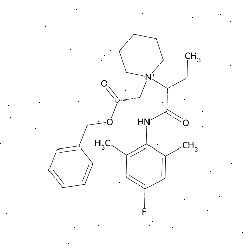 CCC(C(=O)Nc1c(C)cc(F)cc1C)[N+]1(CC(=O)OCc2ccccc2)CCCCC1